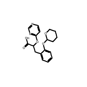 O=C(O)C(Cc1ccccc1OC1CCCCO1)Oc1ccncn1